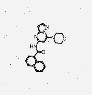 O=C(Nc1cc(N2CCOCC2)n2nccc2n1)c1cccc2ccccc12